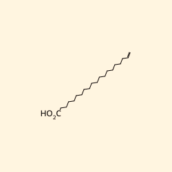 C=CCCCCCCCCCCCCCCCCCC(=O)O